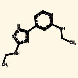 CCNc1cc(-c2nc(NCC)n[nH]2)ccn1